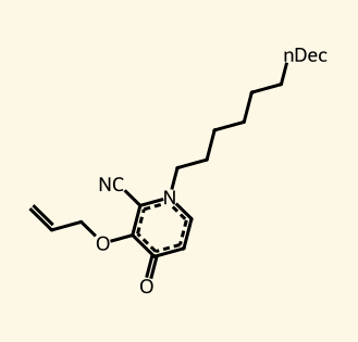 C=CCOc1c(C#N)n(CCCCCCCCCCCCCCCC)ccc1=O